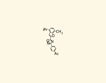 CC(=O)c1ccc(-c2noc(-c3cc4c(C(C)C)ccc(C)c4o3)n2)cc1